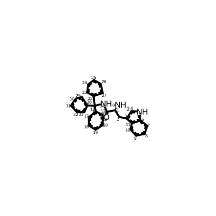 N[C@H](Cc1c[nH]c2ccccc12)C(=O)NC(c1ccccc1)(c1ccccc1)c1ccccc1